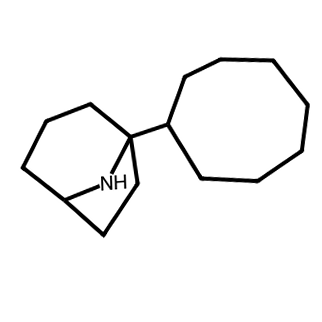 C1CCCC(C23CCCC(CC2)N3)CCC1